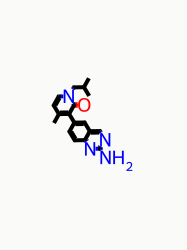 Cc1ccn(CC(C)C)c(=O)c1-c1ccc2nc(N)ncc2c1